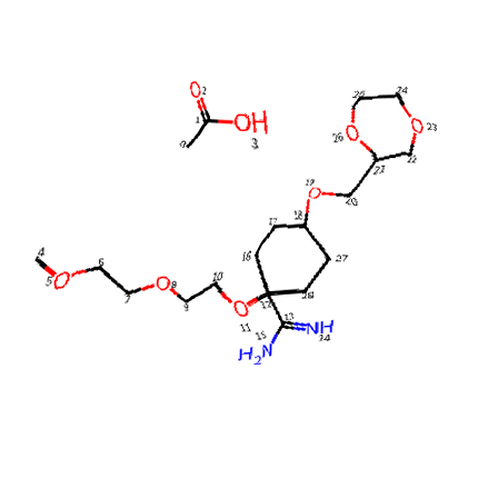 CC(=O)O.COCCOCCOC1(C(=N)N)CCC(OCC2COCCO2)CC1